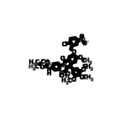 COC(=O)c1c(-c2cc(OC)c(OC)c(OC)c2)c2cc(OC)c(OCc3cc([N+](=O)[O-])ccc3Cl)cc2c(=O)n1-c1ccc(NC(=O)OC(C)(C)C)cc1